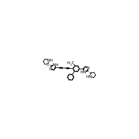 Cc1cc(-c2cnc([C@@H]3CCCN3)[nH]2)cc(-c2ccccc2)c1C#CC#Cc1cnc([C@@H]2CCCN2)[nH]1